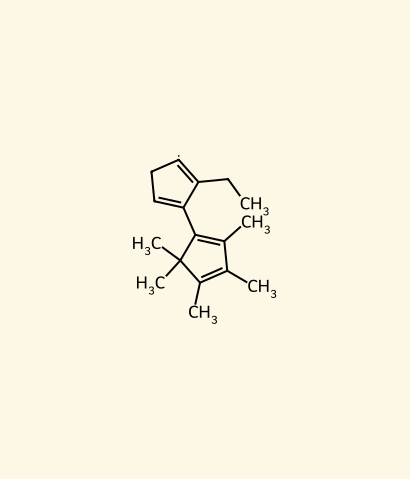 CCC1=[C]CC=C1C1=C(C)C(C)=C(C)C1(C)C